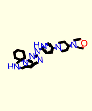 c1cc(Nc2ncc3cc4n(c3n2)C2(CCCCC2)CNC4)ncc1N1CCC(N2CCOCC2)CC1